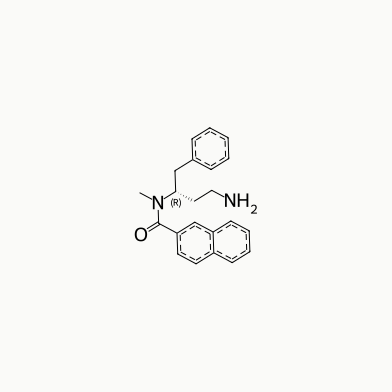 CN(C(=O)c1ccc2ccccc2c1)[C@@H](CCN)Cc1ccccc1